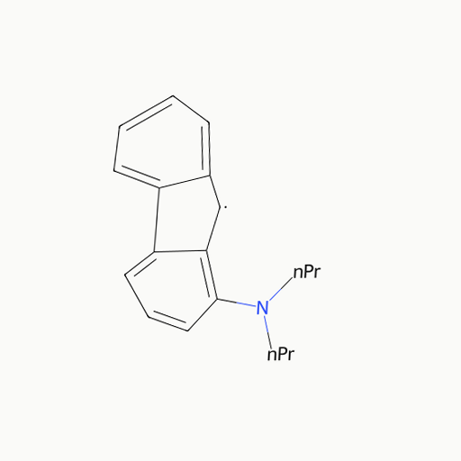 CCCN(CCC)c1cccc2c1[CH]c1ccccc1-2